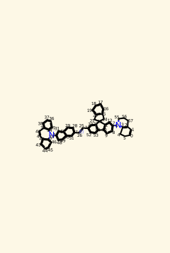 C1=CC2=C(CC1)N(c1ccc3c(c1)C1(Cc4ccccc4C1)c1cc(/C=C/c4ccc5cc(N6c7ccccc7C=Cc7ccccc76)ccc5c4)ccc1-3)CCC2